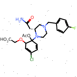 CC(=O)OC1(N2CCN(Cc3ccc(F)cc3)C[C@H]2CC(N)=O)C=CC(Cl)=CC1OCC(=O)O